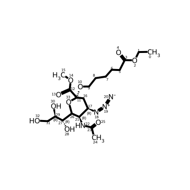 CCOC(=O)CCCCCO[C@]1(C(=O)OC)C[C@@H](N=[N+]=[N-])[C@@H](NC(C)=O)C([C@H](O)[C@H](O)CO)O1